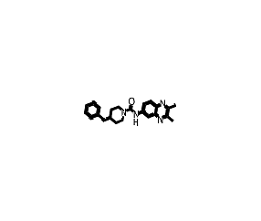 Cc1nc2ccc(NC(=O)N3CCC(Cc4ccccc4)CC3)cc2nc1C